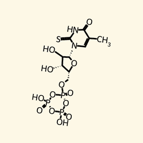 Cc1cn([C@@H]2O[C@H](COP3(=O)OP(=O)(O)OP(=O)(O)O3)[C@H](O)C2O)c(=S)[nH]c1=O